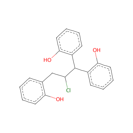 Oc1ccccc1CC(Cl)C(c1ccccc1O)c1ccccc1O